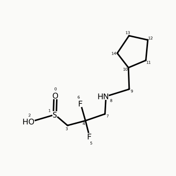 O=S(O)CC(F)(F)CNCC1CCCC1